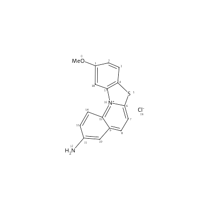 COc1ccc2sc3ccc4cc(N)ccc4[n+]3c2c1.[Cl-]